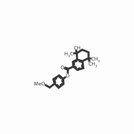 COCc1ccc(OC(=O)c2ccc3c(c2)C(C)(C)CCC3(C)C)cc1